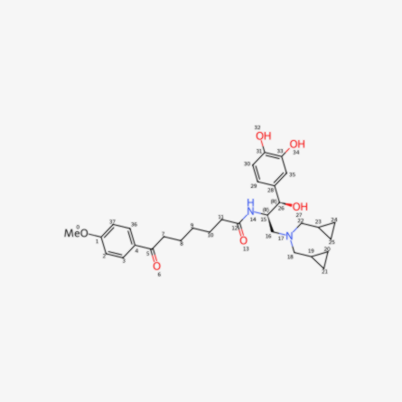 COc1ccc(C(=O)CCCCCC(=O)N[C@H](CN(CC2CC2)CC2CC2)[C@H](O)c2ccc(O)c(O)c2)cc1